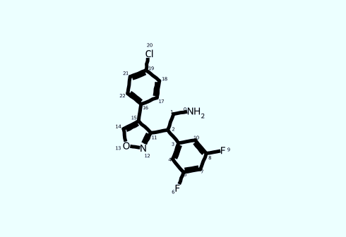 NCC(c1cc(F)cc(F)c1)c1nocc1-c1ccc(Cl)cc1